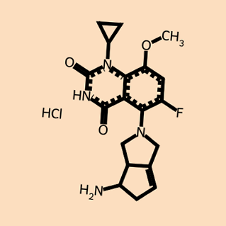 COc1cc(F)c(N2CC3=CCC(N)C3C2)c2c(=O)[nH]c(=O)n(C3CC3)c12.Cl